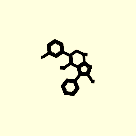 OC1=C(c2cccc(F)c2)CNc2sc(Cl)c(-c3ccccc3)c21